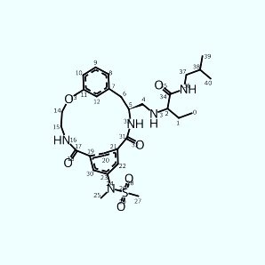 CCC(NC[C@@H]1Cc2cccc(c2)OCCNC(=O)c2cc(cc(N(C)S(C)(=O)=O)c2)C(=O)N1)C(=O)NCC(C)C